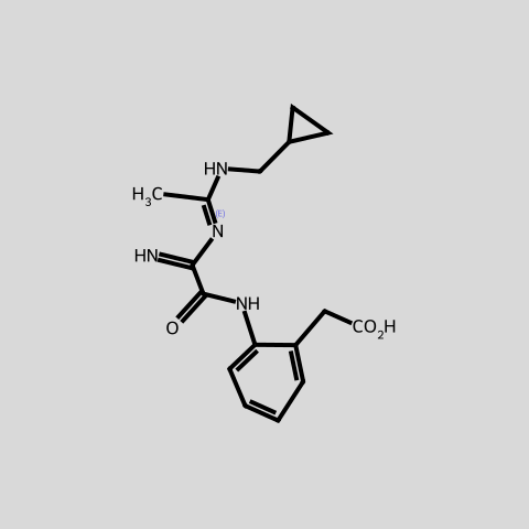 C/C(=N\C(=N)C(=O)Nc1ccccc1CC(=O)O)NCC1CC1